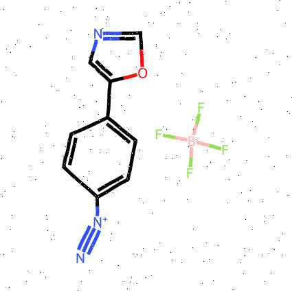 F[B-](F)(F)F.N#[N+]c1ccc(-c2cnco2)cc1